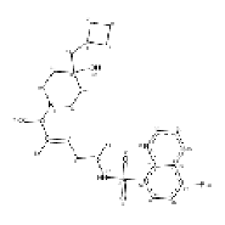 C/C(=C\C=C(/C)C(=O)N1CCC(O)(CC2CCC2)CC1)NS(=O)(=O)c1ccc(F)c2cccnc12